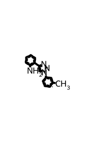 Cc1[c]ccc(-n2cc(-c3ccccc3N)nn2)c1